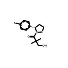 CC(C)(CO)C(=O)N1OCC[C@H]1c1ccc(F)cc1